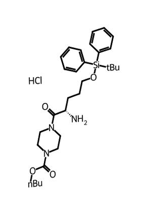 CCCCOC(=O)N1CCN(C(=O)[C@@H](N)CCCO[Si](c2ccccc2)(c2ccccc2)C(C)(C)C)CC1.Cl